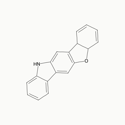 C1=CC2Oc3cc4c(cc3C2C=C1)[nH]c1ccccc14